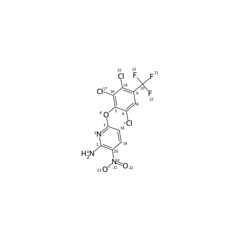 Nc1nc(Oc2c(Cl)cc(C(F)(F)F)c(Cl)c2Cl)ccc1[N+](=O)[O-]